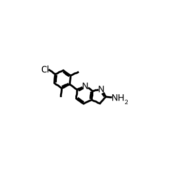 Cc1cc(Cl)cc(C)c1-c1ccc2c(n1)N=C(N)C2